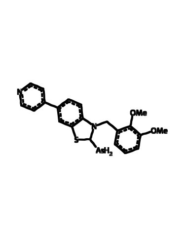 COc1cccc(CN2c3ccc(-c4ccncc4)cc3SC2[AsH2])c1OC